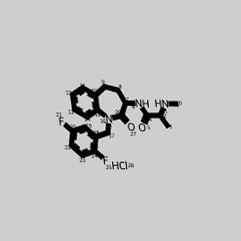 CNC(C)C(=O)NC1CCc2ccccc2N(Cc2cc(F)ccc2F)C1=O.Cl